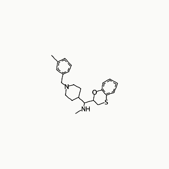 CNC(C1CCN(Cc2cccc(C)c2)CC1)C1CSc2ccccc2O1